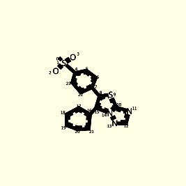 CS(=O)(=O)c1ccc(-c2sc3ncnn3c2-c2ccccc2)cc1